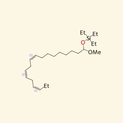 CC/C=C\C/C=C\C/C=C\CCCCCCCC(OC)O[Si](CC)(CC)CC